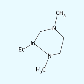 C[CH2][In]1[CH2]N(C)CC[N]1C